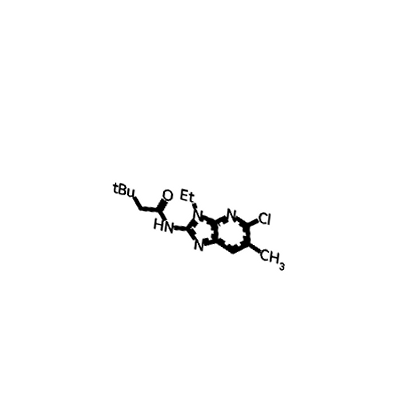 CCn1c(NC(=O)CC(C)(C)C)nc2cc(C)c(Cl)nc21